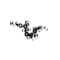 CCN1CCN(C2=CC(NC(=O)c3ccc(C)c(N(N)/C=C(\N)c4ccc(NC(=O)OC)nc4)c3)=CC(C(F)(F)F)C2)CC1